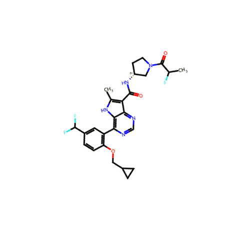 Cc1[nH]c2c(-c3cc(C(F)F)ccc3OCC3CC3)ncnc2c1C(=O)N[C@@H]1CCN(C(=O)C(C)F)C1